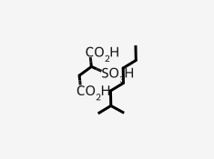 CCCCCC(C)C.O=C(O)CC(C(=O)O)S(=O)(=O)O